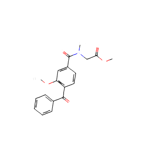 COC(=O)CN(C)C(=O)c1ccc(C(=O)c2ccccc2)c(OC)c1